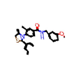 C=C/C=C(\C=C)C1SCC(=C)N1c1ccc(C(=O)NCC2=CCCC(OC)=C2)cc1C